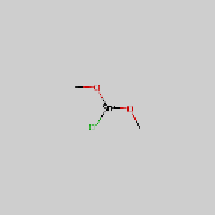 C[O][Sn-]([Cl])[O]C